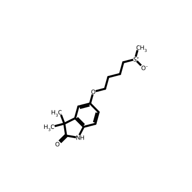 C[S+]([O-])CCCCOc1ccc2c(c1)C(C)(C)C(=O)N2